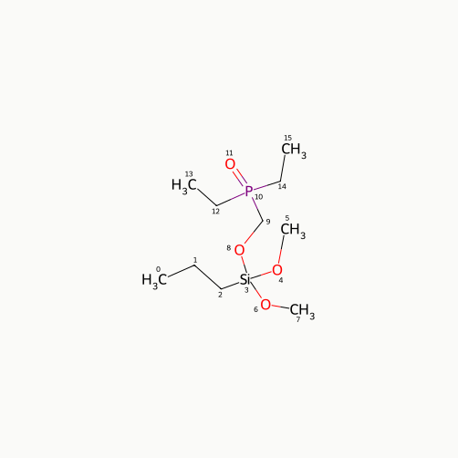 CCC[Si](OC)(OC)OCP(=O)(CC)CC